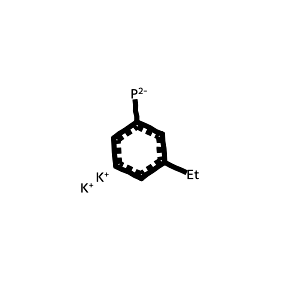 CCc1cccc([P-2])c1.[K+].[K+]